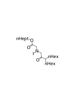 CCCCCCCOC(=O)CN(I)CC(=O)C(CCCCCC)CCCCCC